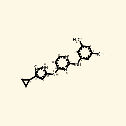 Cc1cc(C)cc(Nc2nccc(Nc3cc(C4CC4)n[nH]3)n2)c1